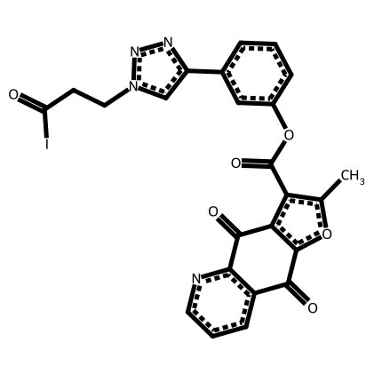 Cc1oc2c(c1C(=O)Oc1cccc(-c3cn(CCC(=O)I)nn3)c1)C(=O)c1ncccc1C2=O